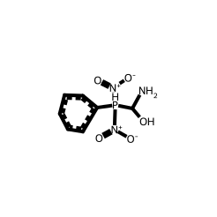 NC(O)[PH](c1ccccc1)([N+](=O)[O-])[N+](=O)[O-]